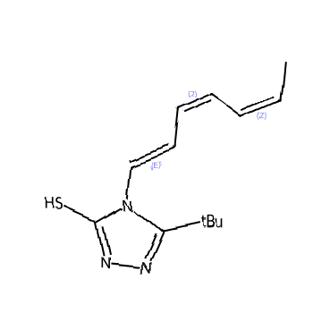 C\C=C/C=C\C=C\n1c(S)nnc1C(C)(C)C